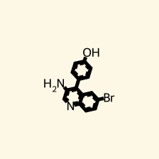 Nc1cnc2ccc(Br)cc2c1-c1ccc(O)cc1